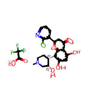 CN1CC[C@H](c2c(O)cc(O)c3c(=O)cc(-c4cccnc4Cl)oc23)[C@H](O)C1.O=C(O)C(F)(F)F